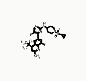 Cc1cc(C(C)(C)C)c2cc(-c3nc(NC4CCN(S(=O)(=O)C5CC5)CC4)ncc3F)cc(F)c2n1